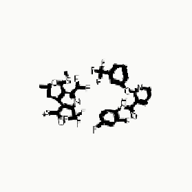 CSC(=O)c1c(C(F)F)nc(C(F)(F)F)c(C(=O)SC)c1CC(C)C.O=C(Nc1ccc(F)cc1F)c1cccnc1Oc1cccc(C(F)(F)F)c1